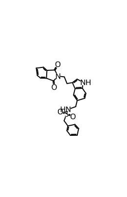 O=C1c2ccccc2C(=O)N1CCc1c[nH]c2ccc(CNS(=O)(=O)Cc3ccccc3)cc12